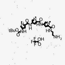 Cn1cc(NC(=O)c2cc(NC(=O)c3cc(NC(=O)OC(C)(C)C)cn3C)cn2C)cc1C(=O)NCCN.O=C(O)C(F)(F)F